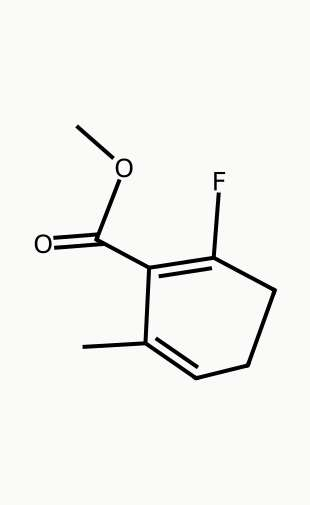 COC(=O)C1=C(F)CCC=C1C